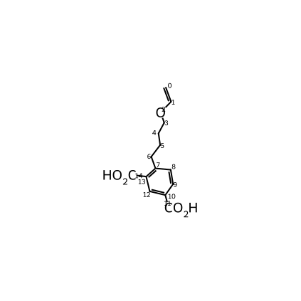 C=COCCCCc1ccc(C(=O)O)cc1C(=O)O